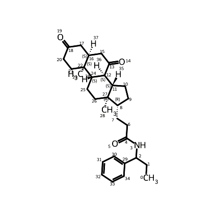 CCC(NC(=O)CC[C@H]1CC[C@H]2[C@@H]3C(=O)C[C@@H]4CC(=O)CC[C@]4(C)[C@H]3CC[C@]12C)c1ccccc1